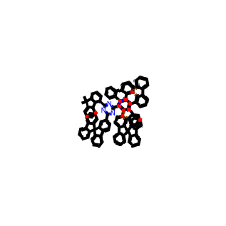 CC1(C)c2ccccc2-c2c(-c3nc(-c4ccc5c(c4)C4(c6ccccc6-c6ccccc64)c4ccccc4-5)nc(-c4cc(-c5ccccc5-c5ccccc5-c5nc(-c6ccc7c(c6)C6(c8ccccc8-c8ccccc86)c6ccccc6-7)nc(-c6cccc7c6sc6ccccc67)n5)cc5c4sc4ccccc45)n3)cccc21